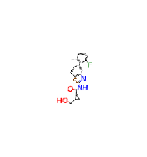 Cc1cccc(F)c1-c1ccc2sc(NC(=O)[C@H]3C[C@H]3CO)nc2c1